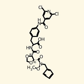 CON(Cc1ccccc1)C(=O)[C@@H]1OCO[C@H]1C(=O)NC(Cc1ccc(NC(=O)c2cc(Cl)nc(Cl)c2)cc1)C(=O)O